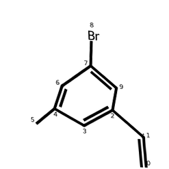 C=[C]c1cc(C)cc(Br)c1